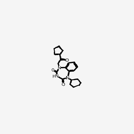 O=C(CN1C(=O)NC(=O)N(C2CCCCC2)c2ccccc21)C1CCCC1